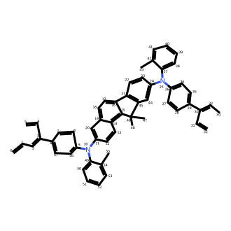 C=C/C=C(\C=C)c1ccc(N(c2ccc3c4c(ccc3c2)-c2ccc(N(c3ccc(/C(C=C)=C/C)cc3)c3ccccc3C)cc2C4(C)C)c2ccccc2C)cc1